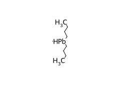 CCC[CH2][PbH][CH2]CCC